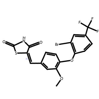 COc1cc(/C=C2/SC(=O)NC2=O)ccc1Oc1ccc(C(F)(F)F)cc1Br